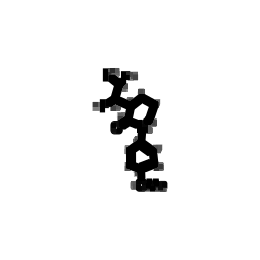 COc1ccc(N2CCCC(C(F)C(F)F)C2=O)cc1